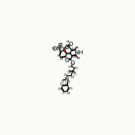 COC(=O)C1=C(C)NC(C)=C(C(=O)OCCC(C)(C)CCN(C)Cc2ccccc2)C1c1cccc([N+](=O)[O-])c1F